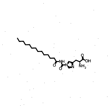 CCCCCCCCCCCCCC(=O)NC(=O)n1cnc(C[C@H](N)C(=O)O)c1